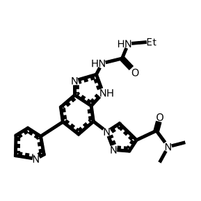 CCNC(=O)Nc1nc2cc(-c3cccnc3)cc(-n3cc(C(=O)N(C)C)cn3)c2[nH]1